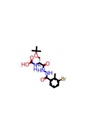 Cc1c(Br)cccc1C(=O)NNC(=O)[C@@H](COC(C)(C)C)NC(=O)O